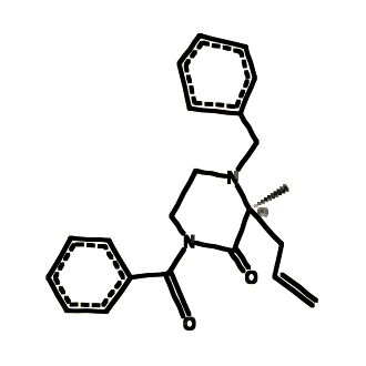 C=CC[C@@]1(C)C(=O)N(C(=O)c2ccccc2)CCN1Cc1ccccc1